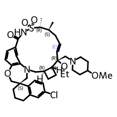 CCO[C@@]1(CN2CCC(OC)CC2)/C=C/C[C@H](C)[C@@H](C)S(=O)(=O)NC(=O)c2ccc3c(c2)N(C[C@@H]2CC[C@H]21)C[C@@]1(CCCc2cc(Cl)ccc21)CO3